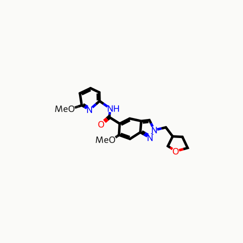 COc1cccc(NC(=O)c2cc3cn(CC4CCOC4)nc3cc2OC)n1